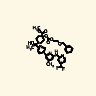 COC(=O)[C@]1(OC(=O)OCCOCc2ccccc2)CC[C@@H]([C@@](C)(O)c2ccc(-c3cc(C)cc(Nc4cc(C(F)F)ccn4)n3)cn2)CC1